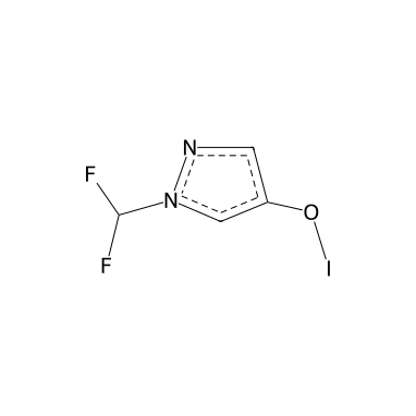 FC(F)n1cc(OI)cn1